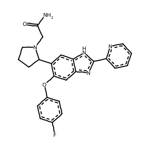 NC(=O)CN1CCCC1c1cc2[nH]c(-c3ccccn3)nc2cc1Oc1ccc(F)cc1